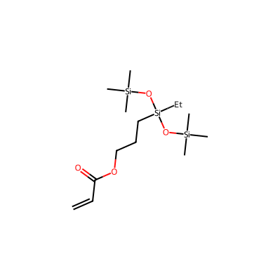 C=CC(=O)OCCC[Si](CC)(O[Si](C)(C)C)O[Si](C)(C)C